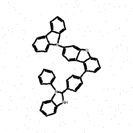 c1ccc(N2c3ccccc3NC2c2ccc(-c3cccc4oc5cc(-n6c7ccccc7c7ccccc76)ccc5c34)cc2)cc1